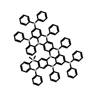 C[Si]1(C)c2ccccc2N(c2ccccc2)c2cc3c(cc21)B1c2cc4c(cc2N(c2ccccc2)c2cc(N(c5ccccc5)c5ccccc5)cc(c21)N3c1ccccc1)N(c1ccccc1)c1cc(N(c2ccccc2)c2ccccc2)cc2c1B4c1ccccc1N2c1ccccc1